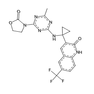 Cc1nc(NC2(c3cc4cc(C(F)(F)F)ccc4[nH]c3=O)CC2)nc(N2CCOC2=O)n1